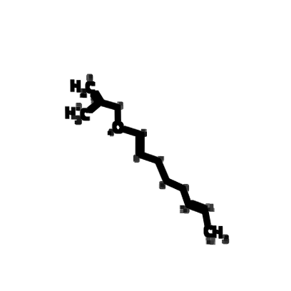 C=C(C)COC=CCCCC=CC